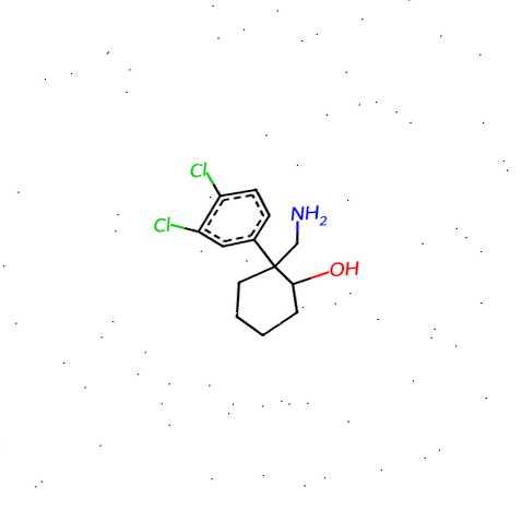 NCC1(c2ccc(Cl)c(Cl)c2)CCCCC1O